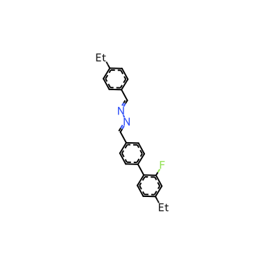 CCc1ccc(C=NN=Cc2ccc(-c3ccc(CC)cc3F)cc2)cc1